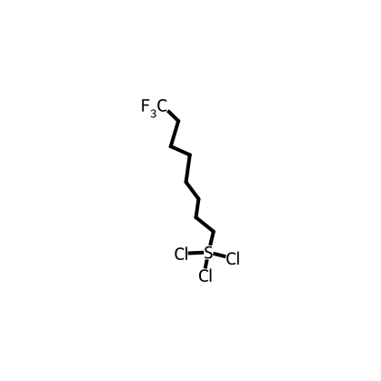 FC(F)(F)CCCCCCCS(Cl)(Cl)Cl